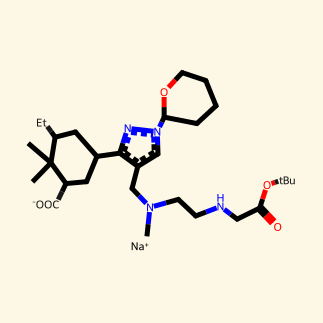 CCC1CC(c2nn(C3CCCCO3)cc2CN(C)CCNCC(=O)OC(C)(C)C)CC(C(=O)[O-])C1(C)C.[Na+]